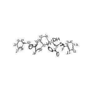 O=c1oc2c(c(O)c1SCc1ccccc1)CCc1cc(OCc3ccccc3)ccc1-2